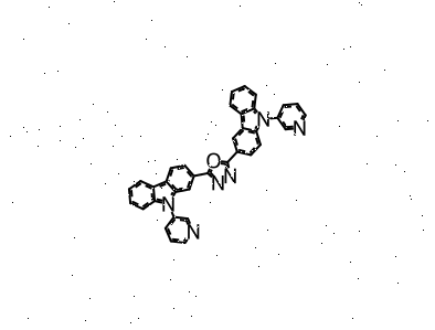 c1cncc(-n2c3ccccc3c3cc(-c4nnc(-c5ccc6c7ccccc7n(-c7cccnc7)c6c5)o4)ccc32)c1